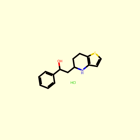 Cl.OC(CC1CCc2sccc2N1)c1ccccc1